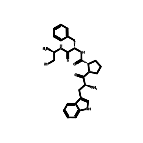 B[C@H](CC(C)C)NC(=S)[C@H](Cc1ccccc1)NC(=O)[C@@H]1CCCN1C(=O)[C@@H](N)Cc1c[nH]c2ccccc12